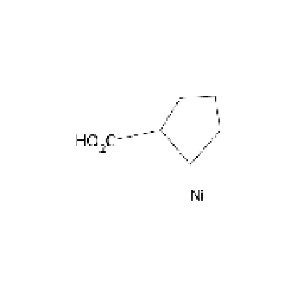 O=C(O)C1CCCC1.[Ni]